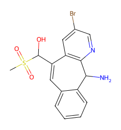 CS(=O)(=O)C(O)C1=Cc2ccccc2C(N)c2ncc(Br)cc21